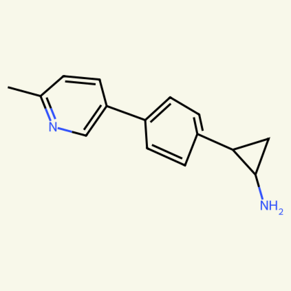 Cc1ccc(-c2ccc(C3CC3N)cc2)cn1